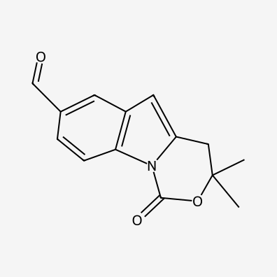 CC1(C)Cc2cc3cc(C=O)ccc3n2C(=O)O1